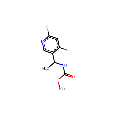 CC(NC(=O)OC(C)(C)C)c1cnc(F)cc1I